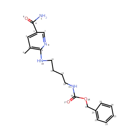 Cc1cc(C(N)=O)cnc1NCCCCNC(=O)OCc1ccccc1